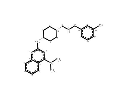 CN(C)c1nc(N[C@H]2CC[C@@H](CNCc3cccc(Cl)c3)CC2)nc2ccccc12